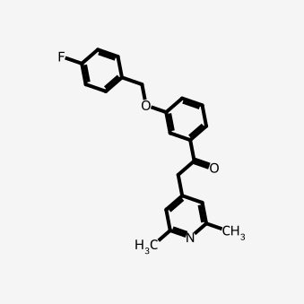 Cc1cc(CC(=O)c2cccc(OCc3ccc(F)cc3)c2)cc(C)n1